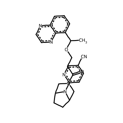 CC(OCCC(=O)N1CC2CCC(C1)N2c1ccc(C#N)cn1)c1cccc2nccnc12